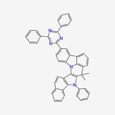 CC1(C)c2cccc3c4cc(-c5nc(-c6ccccc6)nc(-c6ccccc6)n5)ccc4n(c23)-c2c1n(-c1ccccc1)c1c2ccc2ccccc21